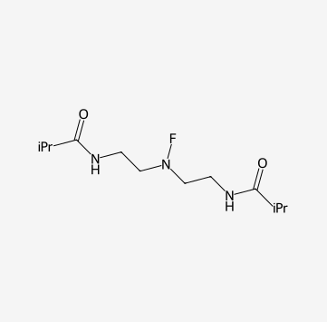 CC(C)C(=O)NCCN(F)CCNC(=O)C(C)C